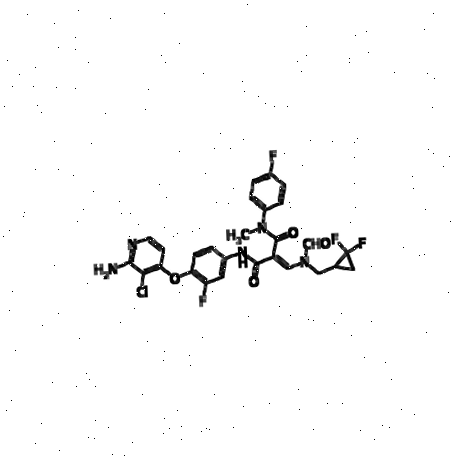 CN(C(=O)/C(=C\N(C=O)CC1CC1(F)F)C(=O)Nc1ccc(Oc2ccnc(N)c2Cl)c(F)c1)c1ccc(F)cc1